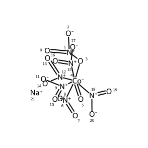 O=[N+]([O-])[O][Co-](=[O])([N+](=O)[O-])([N+](=O)[O-])([N+](=O)[O-])([N+](=O)[O-])[N+](=O)[O-].[Na+]